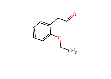 CCOc1ccccc1CC=O